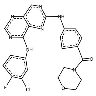 O=C(c1ccc(Nc2ncc3ncnc(Nc4ccc(F)c(Cl)c4)c3n2)cc1)N1CCOCC1